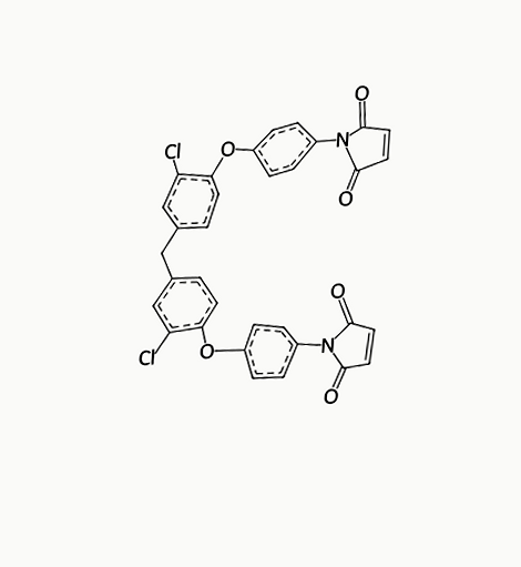 O=C1C=CC(=O)N1c1ccc(Oc2ccc(Cc3ccc(Oc4ccc(N5C(=O)C=CC5=O)cc4)c(Cl)c3)cc2Cl)cc1